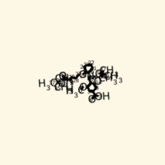 COc1cc(C(=O)O)ccc1CN(C(=O)OC(C)(C)C)c1ccccc1OCCCNC(=O)OC(C)(C)C